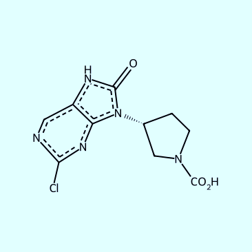 O=C(O)N1CC[C@@H](n2c(=O)[nH]c3cnc(Cl)nc32)C1